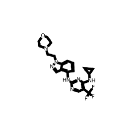 FC(F)(F)c1cnc(Nc2cccc3c2cnn3CCN2CCOCC2)nc1NC1CC1